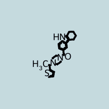 CC(c1cccs1)N1CCN(C(=O)c2ccc3[nH]c4c(c3c2)CCCC4)CC1